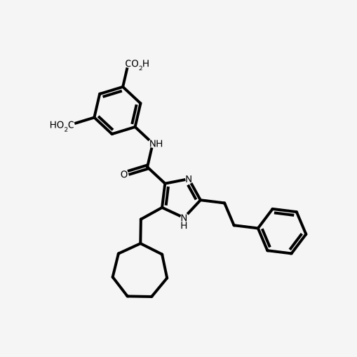 O=C(O)c1cc(NC(=O)c2nc(CCc3ccccc3)[nH]c2CC2CCCCCC2)cc(C(=O)O)c1